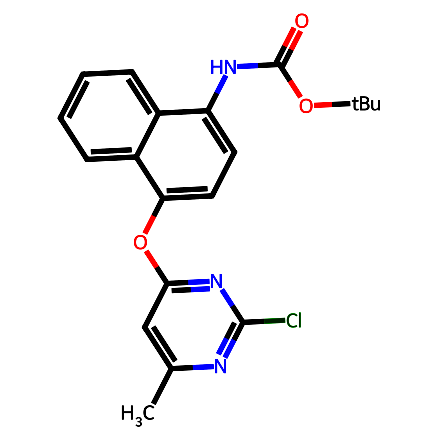 Cc1cc(Oc2ccc(NC(=O)OC(C)(C)C)c3ccccc23)nc(Cl)n1